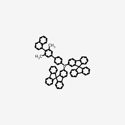 Cc1cc(-c2ccc(N(c3ccc4c(c3)C3(c5ccccc5-c5ccccc53)c3ccccc3-4)c3ccc4c(c3)C3(c5ccccc5-c5ccccc53)c3ccccc3-4)cc2)cc(C)c1-c1cccc2ccccc12